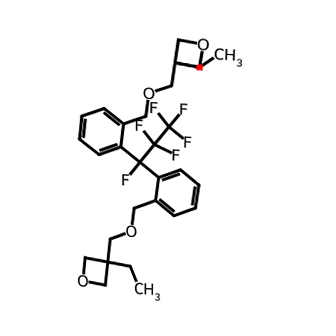 CCC1(COCc2ccccc2C(F)(c2ccccc2COCC2(CC)COC2)C(F)(F)C(F)(F)F)COC1